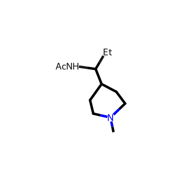 CCC(NC(C)=O)C1CCN(C)CC1